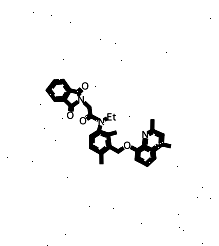 CCN(C(=O)CN1C(=O)c2ccccc2C1=O)c1ccc(C)c(COc2cccc3c(C)cc(C)nc23)c1C